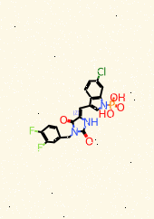 O=C1N/C(=C\c2cn(P(=O)(O)O)c3cc(Cl)ccc23)C(=O)N1Cc1ccc(F)c(F)c1